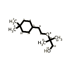 CC1(C)CCC(CCOC(C)(C)CO)CC1